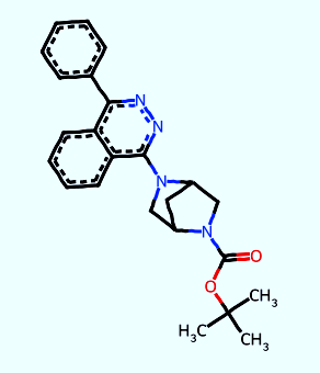 CC(C)(C)OC(=O)N1CC2CC1CN2c1nnc(-c2ccccc2)c2ccccc12